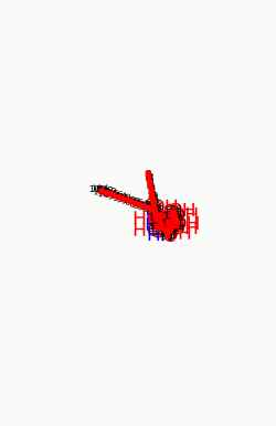 CCCCCCCCCCCCC/C=C/[C@@H](O)[C@H](CO[C@@H]1OC(CO)[C@@H](O[C@@H]2OC(CO)[C@H](O)[C@H](O[C@@H]3OC(CO)[C@@H](O[C@@H]4OC(CO)[C@H](O[C@@H]5OC(CO)[C@H](O)[C@H](O)C5O)[C@H](O)C4O)[C@H](O)C3NC(C)=O)C2O)[C@H](O)C1O)NC(=O)CCCCCCCCCCCCCCCCCCCCCCCCC